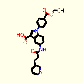 CCOC(=O)c1ccc(-n2cc(C(=O)O)c3cc(NC(=O)CCc4cccnc4)ccc32)cc1